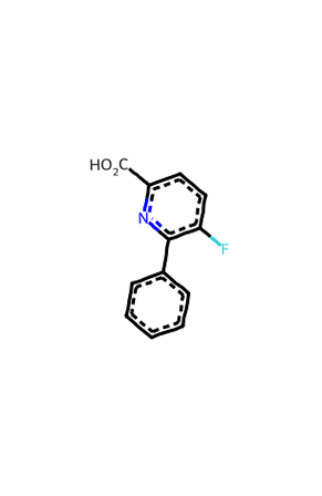 O=C(O)c1ccc(F)c(-c2ccccc2)n1